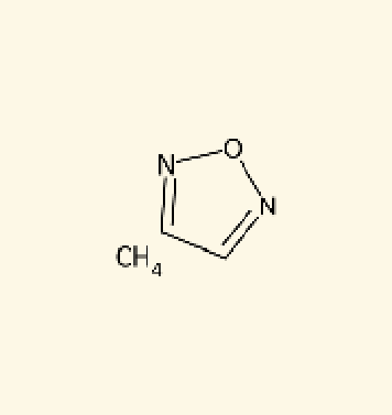 C.c1cnon1